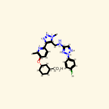 Cc1nc(-c2nnn(C)c2CNc2cnn(-c3ccc(F)cc3)n2)ccc1O[C@H]1CCC[C@H](C(=O)O)C1